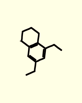 CCc1cc2c(c(CC)c1)CCC[CH]2